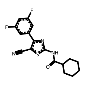 N#Cc1sc(NC(=O)C2CCCCC2)nc1-c1cc(F)cc(F)c1